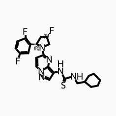 Fc1ccc(F)c([C@H]2C[C@H](F)CN2c2ccn3ncc(NC(=S)NCC4CCCCC4)c3n2)c1